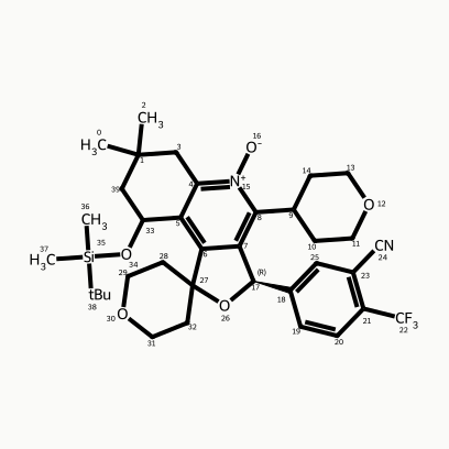 CC1(C)Cc2c(c3c(c(C4CCOCC4)[n+]2[O-])[C@@H](c2ccc(C(F)(F)F)c(C#N)c2)OC32CCOCC2)C(O[Si](C)(C)C(C)(C)C)C1